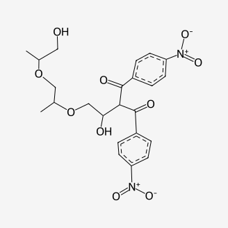 CC(CO)OCC(C)OCC(O)C(C(=O)c1ccc([N+](=O)[O-])cc1)C(=O)c1ccc([N+](=O)[O-])cc1